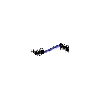 CC1=C(/C=C/C(C)=C/C=C/C(C)=C/C=C/C=C(C)/C=C/C=C(C)/C=C/C2=C(C)C(=O)C(OC(=O)C(N)C(=O)n3ccnc3)CC2(C)C)C(C)(C)CC(OC(=O)CNC(=O)n2ccnc2)C1=O